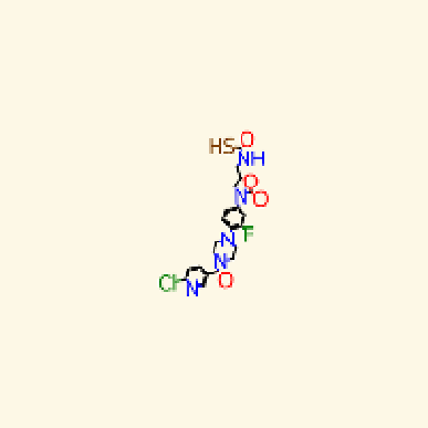 O=C(S)NCC1CN(c2ccc(N3CCN(C(=O)c4ccc(Cl)nc4)CC3)c(F)c2)C(=O)O1